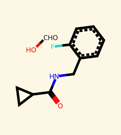 O=C(NCc1ccccc1F)C1CC1.O=CO